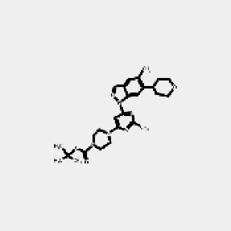 Cc1nc(N2CCN(C(=O)OC(C)(C)C)CC2)cc(-n2ncc3cc(C)c(C4CCOCC4)cc32)n1